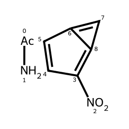 CC(N)=O.O=[N+]([O-])c1ccc2cc1-2